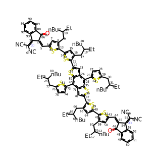 [C-]#[N+]/C(C#N)=C1\C(=Cc2cc(CC(CC)CCCC)c(-c3cc(CC(CC)CCCC)c(-c4cc5c(-c6ccc(CC(CC)CCCC)s6)c6sc(-c7sc(-c8sc(C=C9C(=O)c%10ccccc%10/C9=C(/C#N)[N+]#[C-])cc8CC(CC)CCCC)cc7CC(CC)CCCC)cc6c(-c6ccc(CC(CC)CCCC)s6)c5s4)s3)s2)C(=O)c2ccccc21